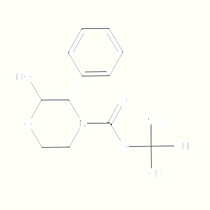 CC(C)(C)OC(=O)N1CCOC(O)[C@@H]1c1ccccc1